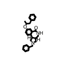 CC(Cc1ccccc1)Oc1ccc2c(c1)C(=O)NC[C@@H]1CN(Cc3ccccc3)C[C@@H]21